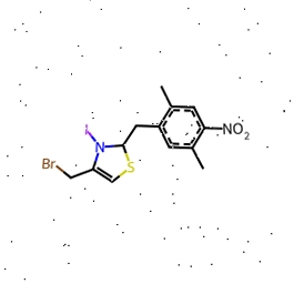 Cc1cc([N+](=O)[O-])c(C)cc1CC1SC=C(CBr)N1I